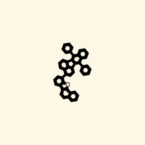 c1ccc(-c2c3c(c(-c4ccccc4)c4ccccc24)-c2ccc(-c4cccc5c4oc4c6ccccc6ccc54)c4cccc-3c24)cc1